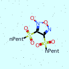 CCCCCS(=O)(=O)c1no[n+]([O-])c1S(=O)(=O)CCCCC